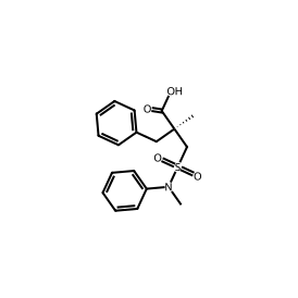 CN(c1ccccc1)S(=O)(=O)C[C@@](C)(Cc1ccccc1)C(=O)O